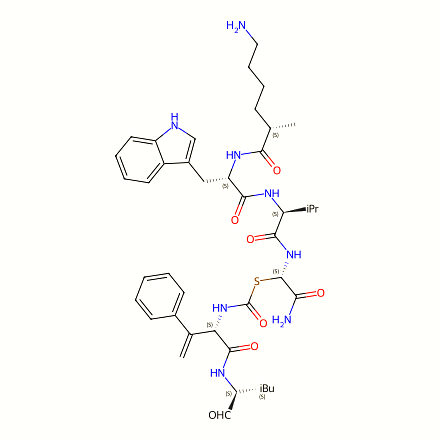 C=C(c1ccccc1)[C@H](NC(=O)S[C@H](NC(=O)[C@@H](NC(=O)[C@H](Cc1c[nH]c2ccccc12)NC(=O)[C@@H](C)CCCCN)C(C)C)C(N)=O)C(=O)N[C@H](C=O)[C@@H](C)CC